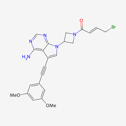 COc1cc(C#Cc2cn(C3CN(C(=O)C=CCBr)C3)c3ncnc(N)c23)cc(OC)c1